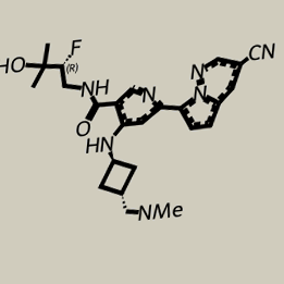 CNC[C@H]1C[C@H](Nc2cc(-c3ccc4cc(C#N)cnn34)ncc2C(=O)NC[C@@H](F)C(C)(C)O)C1